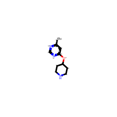 CC(C)(C)c1cc(OC2CCNCC2)ncn1